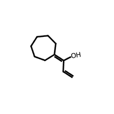 C=CC(O)=C1CCCCCC1